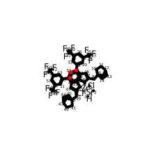 C[SiH](C)[Zr]([Cl])([Cl])([CH]1C(CC23CCC(CC2)C3)=Cc2c(-c3cc(C(F)(F)F)cc(C(F)(F)F)c3)cccc21)[CH]1C(CC23CCC(CC2)C3)=Cc2c(-c3cc(C(F)(F)F)cc(C(F)(F)F)c3)cccc21